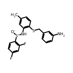 Cc1ccc(SCc2cccc(N)c2)c(N[S+]([O-])c2ccc(F)cc2F)c1